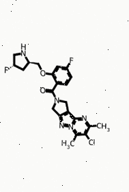 Cc1nc2c3c(nn2c(C)c1Cl)CN(C(=O)c1ccc(F)cc1OC[C@H]1C[C@H](F)CN1)C3